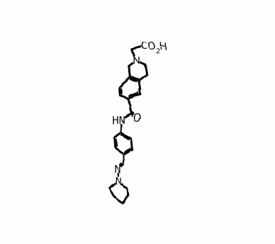 O=C(O)CN1CCc2cc(C(=O)Nc3ccc(C=NN4CCCCC4)cc3)ccc2C1